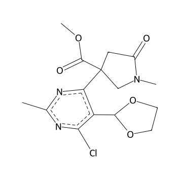 COC(=O)C1(c2nc(C)nc(Cl)c2C2OCCO2)CC(=O)N(C)C1